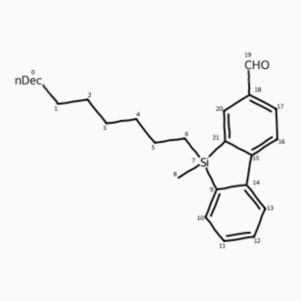 CCCCCCCCCCCCCCCC[Si]1(C)c2ccccc2-c2ccc(C=O)cc21